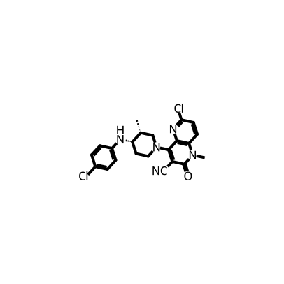 C[C@@H]1CN(c2c(C#N)c(=O)n(C)c3ccc(Cl)nc23)CC[C@@H]1Nc1ccc(Cl)cc1